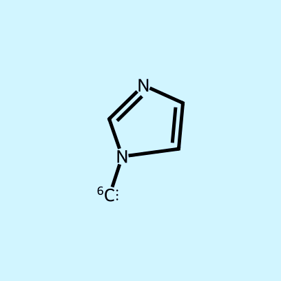 [6C]n1ccnc1